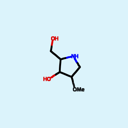 COC1CNC(CO)C1O